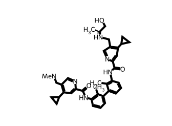 CNCc1cnc(C(=O)Nc2cccc(-c3cccc(NC(=O)c4cc(C5CC5)c(CN[C@@H](C)CO)cn4)c3C)c2C)cc1C1CC1